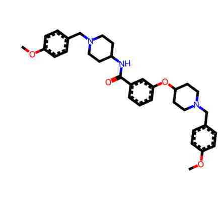 COc1ccc(CN2CCC(NC(=O)c3cccc(OC4CCN(Cc5ccc(OC)cc5)CC4)c3)CC2)cc1